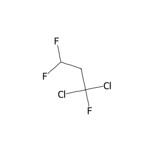 FC(F)CC(F)(Cl)Cl